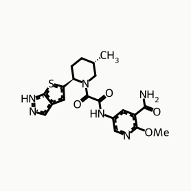 COc1ncc(NC(=O)C(=O)N2C[C@@H](C)CC[C@@H]2c2cc3cn[nH]c3s2)cc1C(N)=O